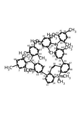 Cc1cc(C)c(N(c2ccc(-c3cccc4c3C=Cc3c(-c5ccc(N(c6c(C)cc(C)cc6C)c6c(C)cc(C)cc6C)c(C)c5)cccc3[Si]4(C)C)cc2C)c2c(C)cc(C)cc2C)c(C)c1